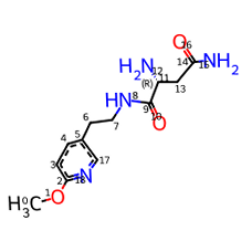 COc1ccc(CCNC(=O)[C@H](N)CC(N)=O)cn1